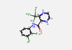 O=C(Nc1cccc(F)c1F)c1nccnc1C(F)(F)F